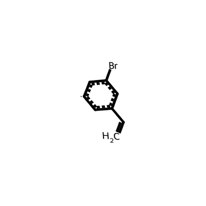 C=Cc1c[c]cc(Br)c1